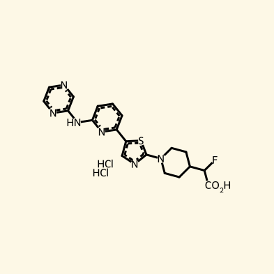 Cl.Cl.O=C(O)C(F)C1CCN(c2ncc(-c3cccc(Nc4cnccn4)n3)s2)CC1